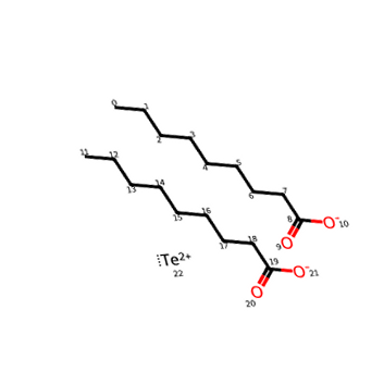 CCCCCCCCC(=O)[O-].CCCCCCCCC(=O)[O-].[Te+2]